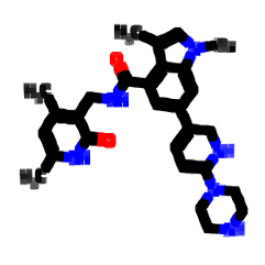 CCC(C)n1cc(C)c2c(C(=O)NCc3c(C)cc(C)[nH]c3=O)cc(C3=CC=C(N4CCNCC4)NC3)cc21